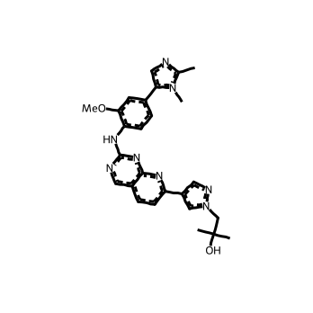 COc1cc(-c2cnc(C)n2C)ccc1Nc1ncc2ccc(-c3cnn(CC(C)(C)O)c3)nc2n1